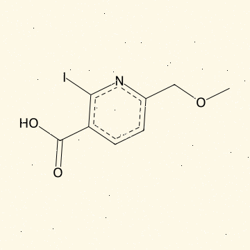 COCc1ccc(C(=O)O)c(I)n1